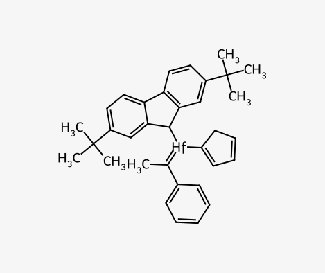 C[C](c1ccccc1)=[Hf]([C]1=CC=CC1)[CH]1c2cc(C(C)(C)C)ccc2-c2ccc(C(C)(C)C)cc21